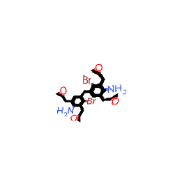 Nc1c(CC2CO2)cc(Cc2cc(CC3CO3)c(N)c(CC3CO3)c2Br)c(Br)c1CC1CO1